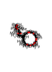 CC[C@H](C)[C@@H]([C@@H](CC(=O)N1CCC[C@H]1[C@H](OC)[C@@H](C)C(=O)N[C@@H](Cc1ccc2c(c1)NC(=O)[C@H](C)NC(=O)[C@H](C)NC(=O)CC(C)(C)COCC(C)(C)CNC(=O)CCC(=O)NCC(C)(C)COCC(C)(C)CC(=O)N[C@@H](C)C(=O)N[C@@H](C)C(=O)O2)C(=O)O)OC)N(C)C(=O)[C@@H](NC(=O)[C@H](C(C)C)N(C)C)C(C)C